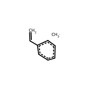 C=Cc1ccccc1.[CH3]